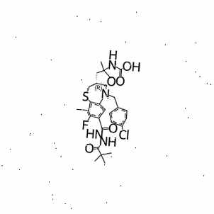 Cc1c(F)c(C(=O)NNC(=O)C(C)(C)C)cc2c1SC[C@H](CC(C)(C)NC(=O)O)C(=O)N2Cc1ccc(Cl)cc1